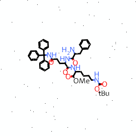 COC(=O)C(CCCCNC(=O)OC(C)(C)C)NC(=O)C(CCC(=O)NC(c1ccccc1)(c1ccccc1)c1ccccc1)NC(=O)C(N)Cc1ccccc1